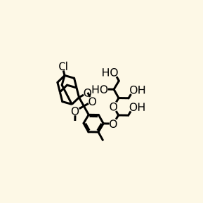 COC1(c2ccc(C)c(OC(CO)OC(CO)C(O)CO)c2)OOC12C1CC3CC2CC(Cl)(C3)C1